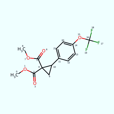 COC(=O)C1(C(=O)OC)CC1c1ccc(OC(F)(F)F)cc1